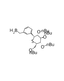 BCc1cccc([C@@H]2S[C@H](COCCCC)[C@@H](OCCCC)[C@H](OCCCC)[C@H]2OCCCC)c1